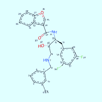 CCc1cccc(CNC[C@H](O)[C@H](Cc2cc(F)cc(F)c2)NC(=O)c2coc3ccccc23)c1